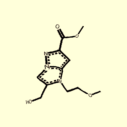 COCCn1c(CO)cn2nc(C(=O)OC)cc12